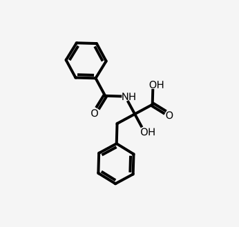 O=C(NC(O)(Cc1ccccc1)C(=O)O)c1ccccc1